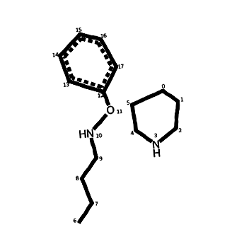 C1CCNCC1.CCCCNOc1ccccc1